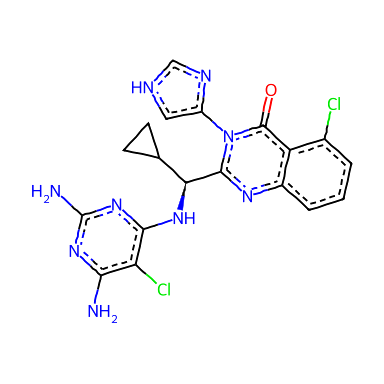 Nc1nc(N)c(Cl)c(N[C@H](c2nc3cccc(Cl)c3c(=O)n2-c2c[nH]cn2)C2CC2)n1